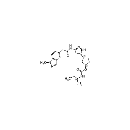 CC[C@H](C)NC(=O)O[C@@H]1CC[C@H](c2cc(NC(=O)Cc3ccc4c(cnn4C)c3)n[nH]2)C1